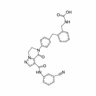 N#Cc1cccc(NC(=O)c2cnn3c2C(=O)N(c2ccc(Cc4ccccc4CNC(=O)O)cc2)CC3)c1